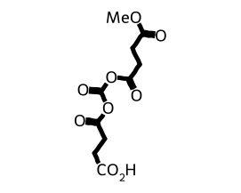 COC(=O)CCC(=O)OC(=O)OC(=O)CCC(=O)O